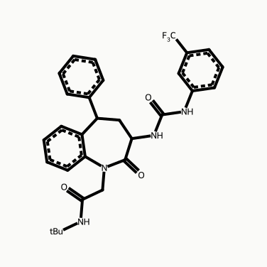 CC(C)(C)NC(=O)CN1C(=O)C(NC(=O)Nc2cccc(C(F)(F)F)c2)CC(c2ccccc2)c2ccccc21